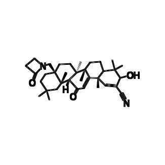 CC1(C)CC[C@]2(CN3CCC3=O)CC[C@]3(C)[C@H](C(=O)C=C4[C@@]5(C)C=C(C#N)C(O)C(C)(C)C5CC[C@]43C)[C@]2(C)C1